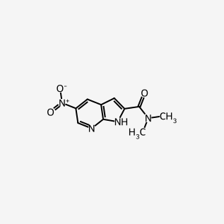 CN(C)C(=O)c1cc2cc([N+](=O)[O-])cnc2[nH]1